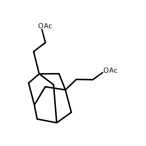 CC(=O)OCCC12CC3CC(C1)CC(CCOC(C)=O)(C3)C2